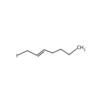 [CH2]CCCC=CCI